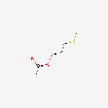 CSCCCOC(C)=O